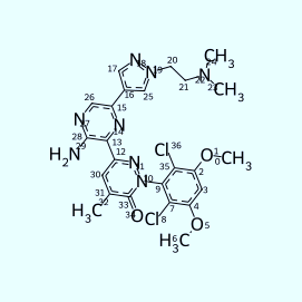 COc1cc(OC)c(Cl)c(-n2nc(-c3nc(-c4cnn(CCN(C)C)c4)cnc3N)cc(C)c2=O)c1Cl